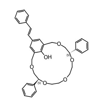 Oc1c2cc(C=Cc3ccccc3)cc1COC[C@H](c1ccccc1)OCCOCCO[C@@H](c1ccccc1)COC2